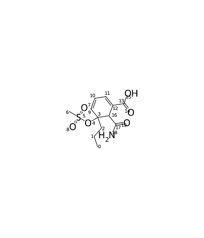 CCCC1(OS(C)(=O)=O)C=CC=C(C(=O)O)C1C(N)=O